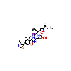 BBc1cc(C(C(=O)N2C[C@H](O)CC2C2=NC(=O)[C@](C)(c3ccc(-c4scnc4C)cc3)N2)C(C)C)on1